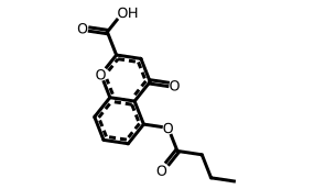 CCCC(=O)Oc1cccc2oc(C(=O)O)cc(=O)c12